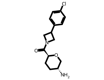 N[C@@H]1CC[C@@H](C(=O)N2CC(c3ccc(Cl)cc3)C2)OC1